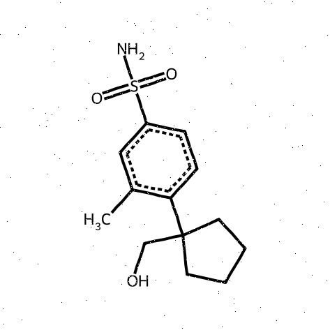 Cc1cc(S(N)(=O)=O)ccc1C1(CO)CCCC1